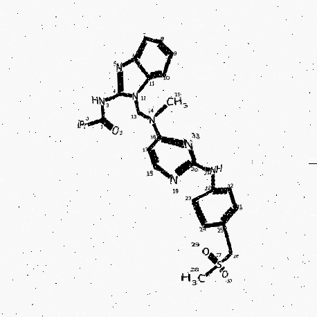 CC(C)C(=O)Nc1nc2ccccc2n1CN(C)c1ccnc(Nc2ccc(CS(C)(=O)=O)cc2)n1